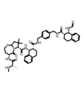 CN[C@@H](C)C(=S)N[C@H]1CCSC2CC(C)(C)[C@@H](C(=O)N[C@@H]3c4ccccc4CC[C@H]3C(=O)NCc3ccc(CNC(=O)[C@@H]4CCc5ccccc5[C@@H]4NC=O)cc3)N2C1=O